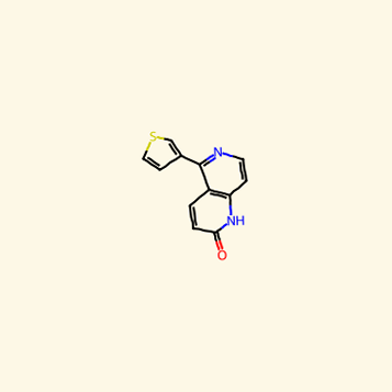 O=c1ccc2c(-c3ccsc3)nccc2[nH]1